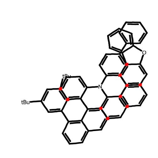 CC(C)(C)c1cc(-c2cccc3cccc(-c4ccccc4N(c4ccccc4-c4ccc5oc6ccccc6c5c4)c4ccc(-c5ccccc5)cc4-c4ccccc4)c23)cc(C(C)(C)C)c1